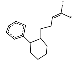 FC(F)=CCCC1CCCCC1c1ccccc1